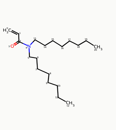 C=CC(=O)N(CCCCCCCC)CCCCCCCC